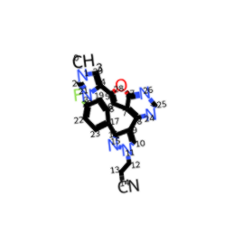 Cn1cnc(-c2cc3c(-c4cn(CCC#N)nc4-c4ccc(F)cc4)ncnc3o2)c1